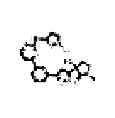 CCn1ccc(Nc2nccc(-c3cccc(-c4cc(C5(O)CCN(C)C5=O)no4)n3)n2)n1